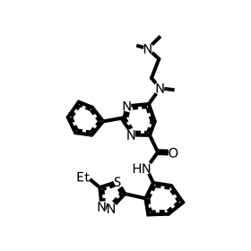 CCc1nnc(-c2ccccc2NC(=O)c2cc(N(C)CCN(C)C)nc(-c3ccccc3)n2)s1